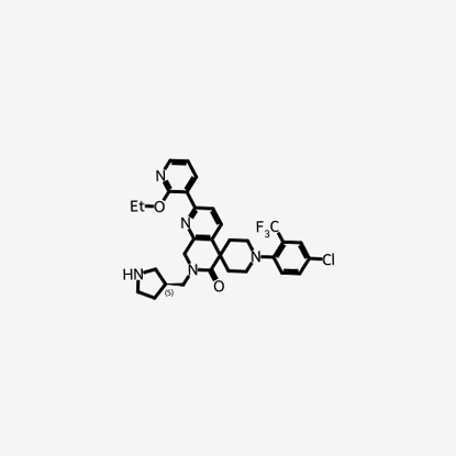 CCOc1ncccc1-c1ccc2c(n1)CN(C[C@H]1CCNC1)C(=O)C21CCN(c2ccc(Cl)cc2C(F)(F)F)CC1